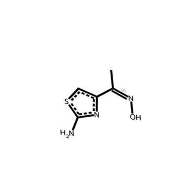 C/C(=N/O)c1csc(N)n1